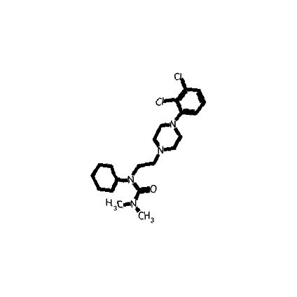 CN(C)C(=O)N(CCN1CCN(c2cccc(Cl)c2Cl)CC1)C1CCCCC1